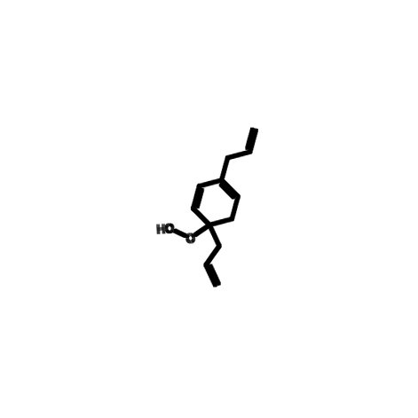 C=CCC1=CCC(CC=C)(OO)C=C1